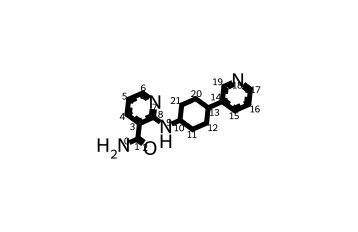 NC(=O)c1cccnc1NC1CCC(c2cccnc2)CC1